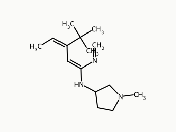 C=N/C(=C\C(=C/C)C(C)(C)C)NC1CCN(C)C1